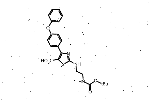 CC(C)(C)OC(=O)NCCNc1nc(-c2ccc(Oc3ccccc3)cc2)c(C(=O)O)s1